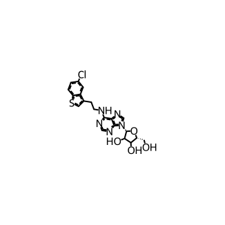 OC[C@H]1O[C@@H](n2cnc3c(NCCc4csc5ccc(Cl)cc45)ncnc32)C(O)C1O